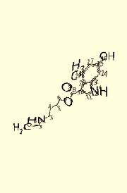 C=CNCCCCOC(=O)c1c[nH]c2cc(O)cc(C)c12